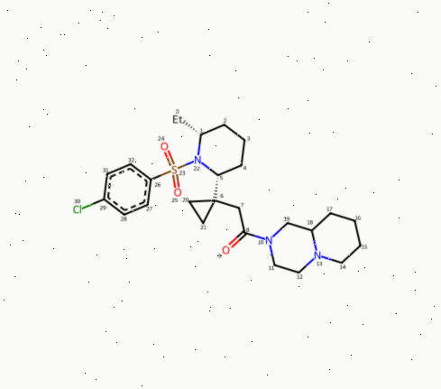 CC[C@@H]1CCC[C@H](C2(CC(=O)N3CCN4CCCCC4C3)CC2)N1S(=O)(=O)c1ccc(Cl)cc1